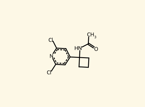 CC(=O)NC1(c2cc(Cl)nc(Cl)c2)CCC1